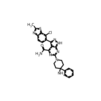 Cc1nc2ccc(-c3n[nH]c4nc(N5CCC(N)(c6ccccc6)CC5)nc(C(N)=O)c34)c(Cl)c2s1